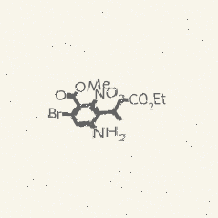 CCOC(=O)CC(C)c1c(N)cc(Br)c(C(=O)OC)c1[N+](=O)[O-]